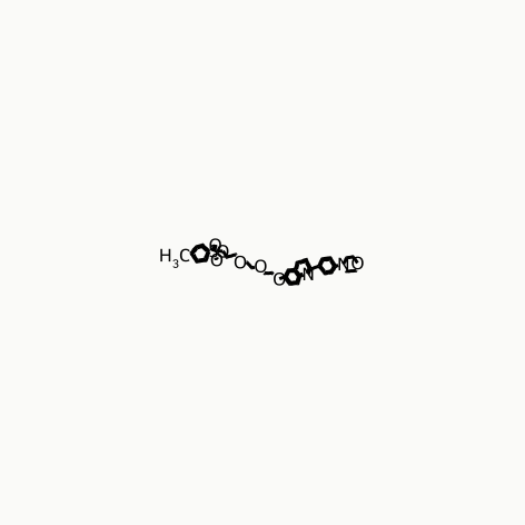 Cc1ccc(S(=O)(=O)OCCOCCOCCOc2ccc3nc(-c4ccc(N5CCOCC5)cc4)ccc3c2)cc1